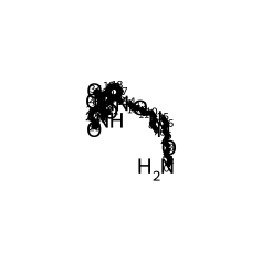 NCCOCCN1CCN(CCOCCNc2cccc3c2C[N+]([O-])(C2CCC(=O)NC2=O)C3=O)CC1